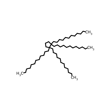 CCCCCCCCCCCCC1(CCCCCCCCCCCC)CCCC1(CCCCCCCCCCCC)CCCCCCCCCCCC